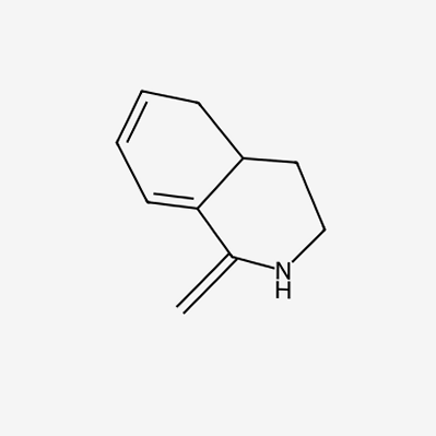 C=C1NCCC2CC=CC=C12